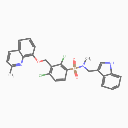 Cc1ccc2cccc(OCc3c(Cl)ccc(S(=O)(=O)N(C)Cc4c[nH]c5ccccc45)c3Cl)c2n1